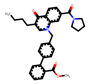 CCCCc1cn(Cc2ccc(-c3ccccc3C(=O)OC)cc2)c2cc(C(=O)N3CCCC3)ccc2c1=O